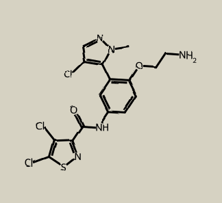 Cn1ncc(Cl)c1-c1cc(NC(=O)c2nsc(Cl)c2Cl)ccc1OCCN